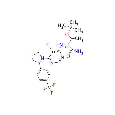 CC(OC(C)(C)C)[C@@H](Nc1ncnc(N2CCCC2c2ccc(C(F)(F)F)cc2)c1F)C(N)=O